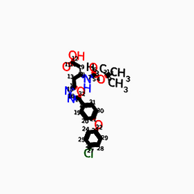 CC(C)(C)OC(=O)N[C@@H](CC(=O)O)Cc1nnc(-c2ccc(Oc3ccc(Cl)cc3)cc2)o1